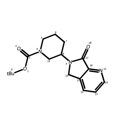 CC(C)(C)OC(=O)N1CCCC(N2Cc3cccnc3C2=O)C1